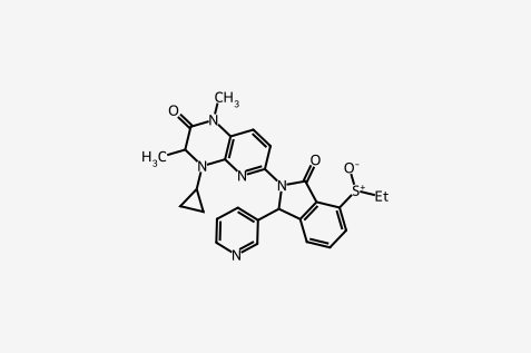 CC[S+]([O-])c1cccc2c1C(=O)N(c1ccc3c(n1)N(C1CC1)C(C)C(=O)N3C)C2c1cccnc1